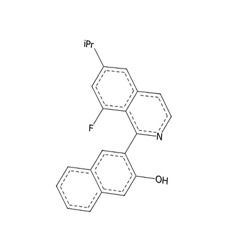 CC(C)c1cc(F)c2c(-c3cc4ccccc4cc3O)nccc2c1